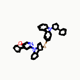 c1ccc(-c2cccc(-n3c4ccccc4c4cc(Sc5ccc6c(c5)c5ccccc5n6-c5cc6c(cn5)oc5ccccc56)ccc43)c2)cc1